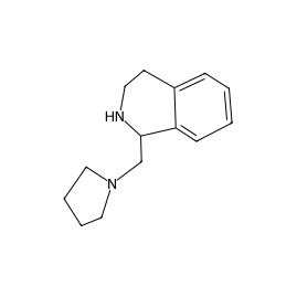 c1ccc2c(c1)CCNC2CN1CCCC1